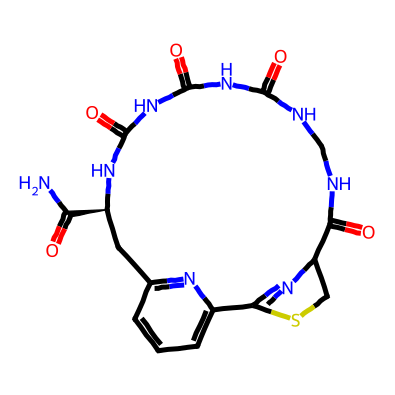 NC(=O)[C@@H]1Cc2cccc(n2)C2=NC(CS2)C(=O)NCNC(=O)NC(=O)NC(=O)N1